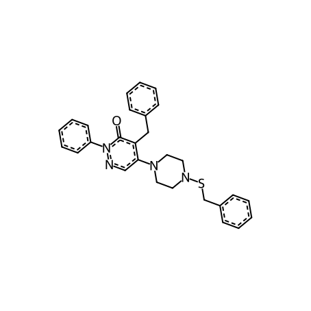 O=c1c(Cc2ccccc2)c(N2CCN(SCc3ccccc3)CC2)cnn1-c1ccccc1